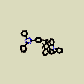 CC1(C)c2ccccc2C2(c3ccccc3-n3c4ccccc4c4cccc2c43)c2cccc(-c3ccc(-c4nc(-c5ccccc5)nc(-c5ccccc5)n4)cc3)c21